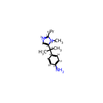 CC(C)c1ncc(C(C)(C)c2ccc(N)cc2)n1C